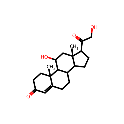 CC12CCC(=O)C=C1CCC1C2C(O)C[C@]2(C)C(C(=O)CO)CCC12